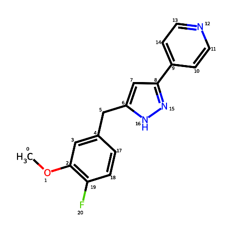 COc1cc(Cc2cc(-c3ccncc3)n[nH]2)ccc1F